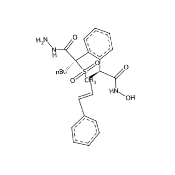 CCCC[C@](C(=O)NN)(c1ccccc1[C@H](C/C=C/c1ccccc1)C(=O)NO)S(C)(=O)=O